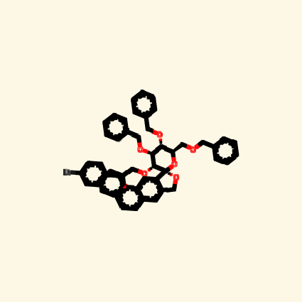 CCc1ccc(Cc2cccc3cc4c(cc23)[C@]2(OC4)O[C@H](COCc3ccccc3)[C@@H](OCc3ccccc3)[C@H](OCc3ccccc3)[C@H]2OCc2ccccc2)cc1